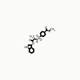 COC(=O)c1ccc(S(=O)(=O)N[C@@H](C)C(=O)Oc2c[nH]c3ccccc23)cc1